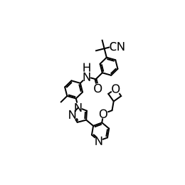 Cc1ccc(NC(=O)c2cccc(C(C)(C)C#N)c2)cc1-n1cc(-c2cnccc2OCC2COC2)cn1